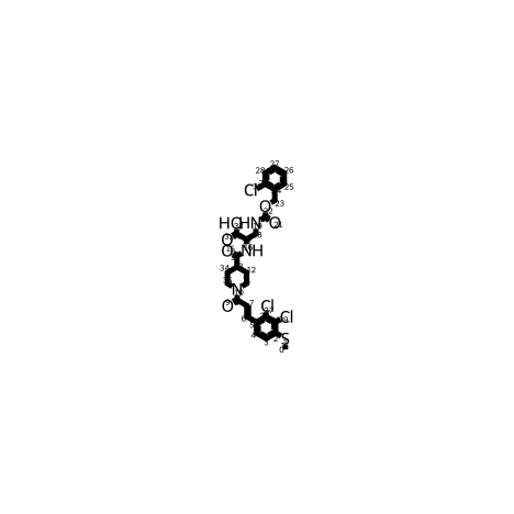 CSc1ccc(C=CC(=O)N2CCC(C(=O)NC(CNC(=O)OCc3ccccc3Cl)C(=O)O)CC2)c(Cl)c1Cl